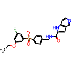 O=C(NCc1ccc(S(=O)(=O)c2cc(F)cc(OCC(F)(F)F)c2)cc1)c1cc2cnccc2[nH]1